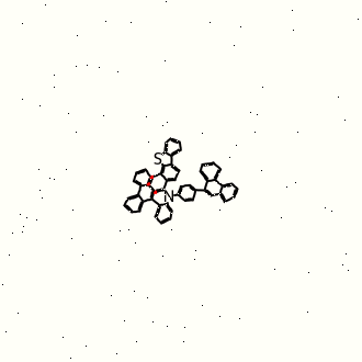 c1ccc(N(c2ccc(-c3cc4ccccc4c4ccccc34)cc2)c2cccc3c2ccc2c4ccccc4sc32)c(-c2cc3ccccc3c3ccccc23)c1